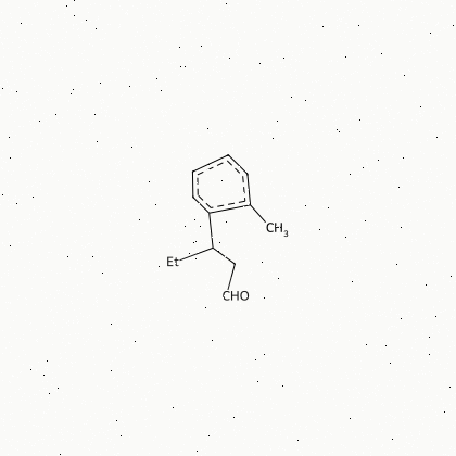 CCC(CC=O)c1ccccc1C